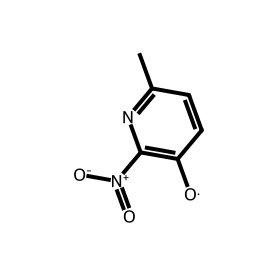 Cc1ccc([O])c([N+](=O)[O-])n1